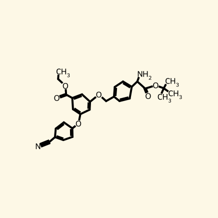 CCOC(=O)c1cc(OCc2ccc(C(N)C(=O)OC(C)(C)C)cc2)cc(Oc2ccc(C#N)cc2)c1